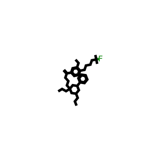 C=C(CCCC1(CCC)CC(CCC)CC(c2ccccc2)C1)c1ccc(CCCCC(C)(C)F)c(CC)c1